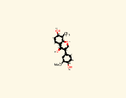 COc1cc(-c2coc3c(C)c(O)ccc3c2=O)ccc1O